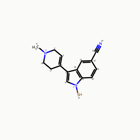 CN1CC=C(c2cn(S)c3ccc(C#N)cc23)CC1